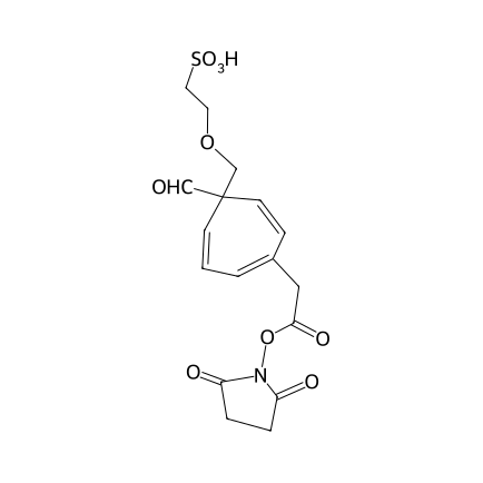 O=CC1(COCCS(=O)(=O)O)C=CC=C(CC(=O)ON2C(=O)CCC2=O)C=C1